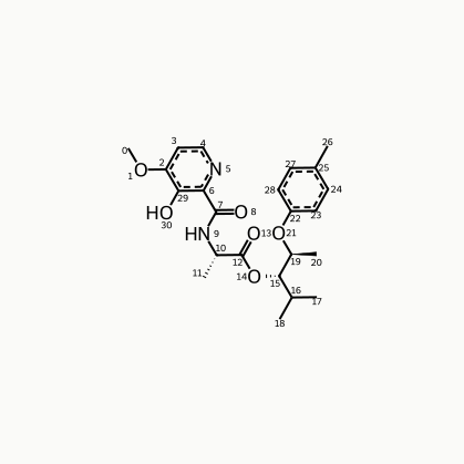 COc1ccnc(C(=O)N[C@@H](C)C(=O)O[C@@H](C(C)C)[C@H](C)Oc2ccc(C)cc2)c1O